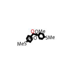 COC(OC)(C(=O)c1ccc(SC)cc1)c1ccc(SC)cc1